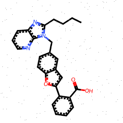 CCCCc1nc2cccnc2n1Cc1ccc2oc(-c3ccccc3C(=O)O)cc2c1